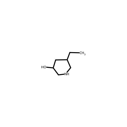 CCC1CNCC(O)C1